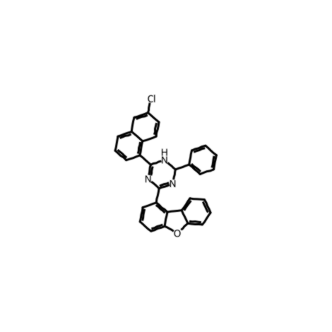 Clc1ccc2c(C3=NC(c4cccc5oc6ccccc6c45)=NC(c4ccccc4)N3)cccc2c1